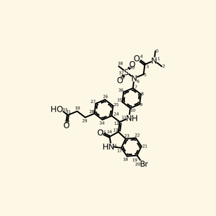 CN(C)C(=O)CN(c1ccc(NC(=C2C(=O)Nc3cc(Br)ccc32)c2cccc(CCC(=O)O)c2)cc1)S(C)(=O)=O